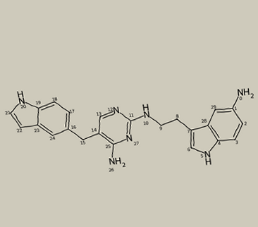 Nc1ccc2[nH]cc(CCNc3ncc(Cc4ccc5[nH]ccc5c4)c(N)n3)c2c1